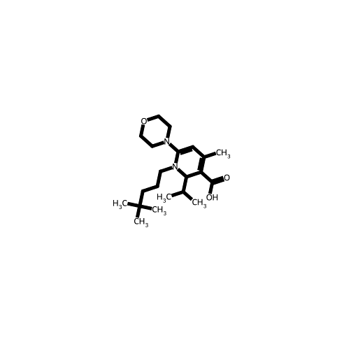 CC1=C(C(=O)O)C(C(C)C)N(CCCC(C)(C)C)C(N2CCOCC2)=C1